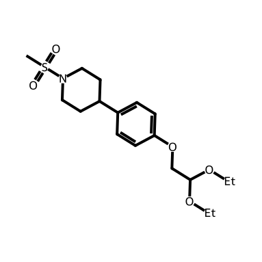 CCOC(COc1ccc(C2CCN(S(C)(=O)=O)CC2)cc1)OCC